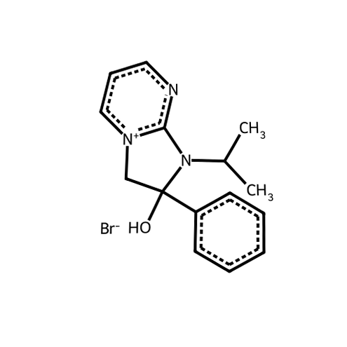 CC(C)N1c2nccc[n+]2CC1(O)c1ccccc1.[Br-]